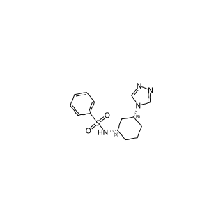 O=S(=O)(N[C@H]1CCC[C@@H](n2cnnc2)C1)c1ccccc1